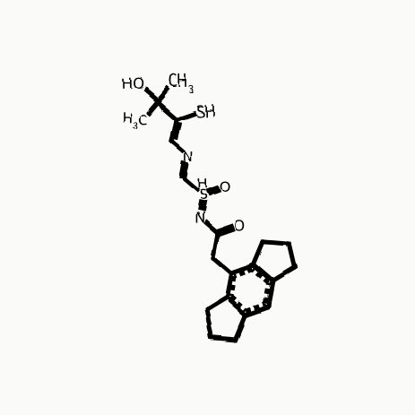 CC(C)(O)/C(S)=C/N=C/[SH](=O)=N/C(=O)Cc1c2c(cc3c1CCC3)CCC2